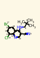 CC(C)(C)CNc1c(C#N)cnc2c(Cl)cc(Br)cc12